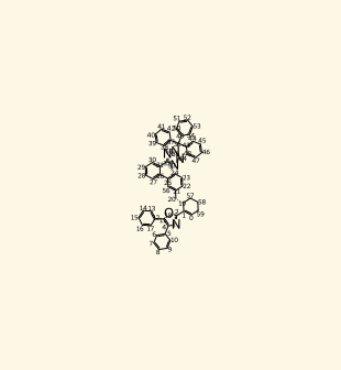 C1=C(c2nc(-c3ccccc3)c(-c3ccccc3)o2)[C@H](Cc2cccc(-c3ccccc3-c3nnn(C(c4ccccc4)(c4ccccc4)c4ccccc4)n3)c2)CCC1